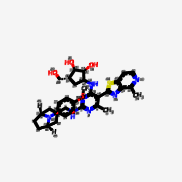 Cc1nc(NCC2C[C@H]3CC[C@@H](C2)N3c2ccc(OC(F)(F)F)cc2)nc(NC2C[C@H](CO)[C@@H](O)[C@H]2O)c1-c1nc2c(C)nccc2s1